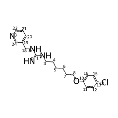 N=C(NCCCCCCOc1ccc(Cl)cc1)NCc1cccnc1